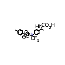 Cc1ccc(S(=O)(=O)O/N=C(/c2ccc(C(C)NC(=O)O)cc2)C(F)(F)F)cc1